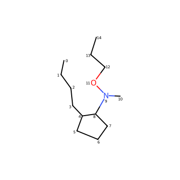 CCCCC1CCCC1N(C)OCCC